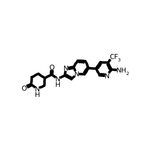 Nc1ncc(-c2ccc3nc(NC(=O)C4CCC(=O)NC4)cn3c2)cc1C(F)(F)F